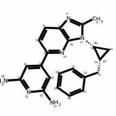 Cc1nc2ccc(-c3cc(N)nc(N)c3)nc2n1[C@@H]1C[C@@H]1Cc1ccccc1